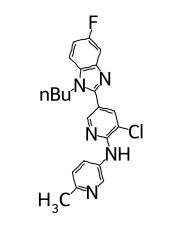 CCCCn1c(-c2cnc(Nc3ccc(C)nc3)c(Cl)c2)nc2cc(F)ccc21